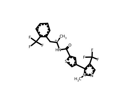 C[C@H](Cc1ccccc1C(F)(F)F)NC(=O)c1cc(-c2c(C(F)(F)F)cnn2C)cs1